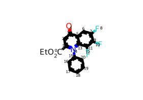 CCOC(=O)c1cc(=O)c2cc(F)c(F)c(F)c2n1-c1ccccc1